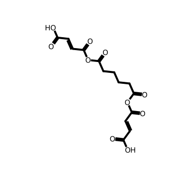 O=C(O)/C=C/C(=O)OC(=O)CCCCC(=O)OC(=O)/C=C/C(=O)O